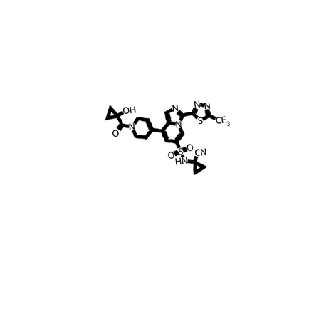 N#CC1(NS(=O)(=O)c2cc(C3=CCN(C(=O)C4(O)CC4)CC3)c3cnc(-c4nnc(C(F)(F)F)s4)n3c2)CC1